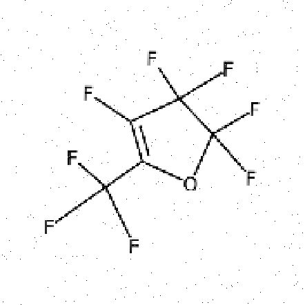 FC1=C(C(F)(F)F)OC(F)(F)C1(F)F